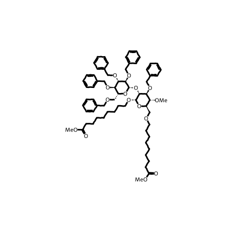 COC(=O)CCCCCCCCOC[C@H]1O[C@H](OCCCCCCCCC(=O)OC)[C@H](O[C@@H]2O[C@H](COCc3ccccc3)[C@@H](OCc3ccccc3)[C@H](OCc3ccccc3)[C@H]2OCc2ccccc2)[C@@H](OCc2ccccc2)[C@@H]1OC